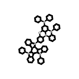 c1ccc(N(c2ccccc2)c2cc3c4c(c2)N(c2ccccc2)c2ccccc2B4c2ccc(-n4c5ccccc5c5c6c(c7ccccc7n6-c6ccccc6)c6c(c7ccccc7n6-c6ccccc6)c54)cc2O3)cc1